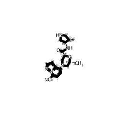 C[C@@H]1CN(c2ccc(C#N)n3nccc23)C[C@H](C(=O)N[C@@H]2CNC[C@@H]2F)O1